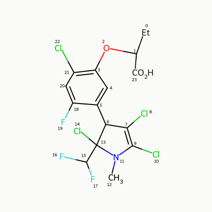 CCC(Oc1cc(C2C(Cl)=C(Cl)N(C)C2(Cl)C(F)F)c(F)cc1Cl)C(=O)O